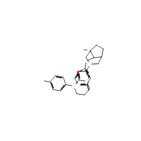 FC(F)(F)c1ccc(N2CCCn3nc(N[C@@H]4C5CC[C@H]4CN(c4ccnc(C(F)(F)F)c4)C5)nc32)cc1